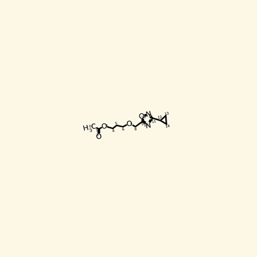 CC(=O)OCCCOCc1nc(C2CC2)no1